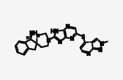 Cn1cc2c(Sc3cnc4[nH]c(N5CCC6(CC5)Cc5ccccc5[C@H]6N)nc4n3)ccnc2n1